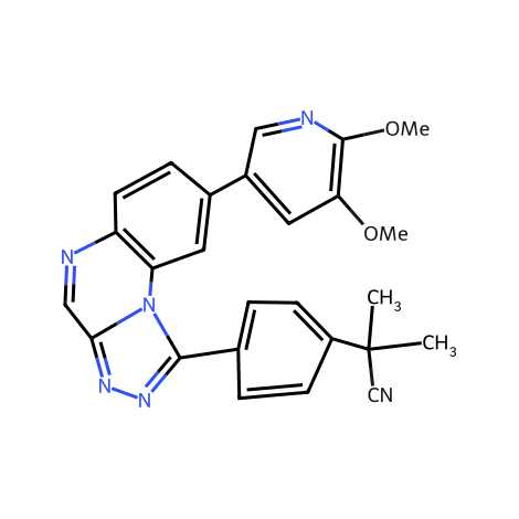 COc1cc(-c2ccc3ncc4nnc(-c5ccc(C(C)(C)C#N)cc5)n4c3c2)cnc1OC